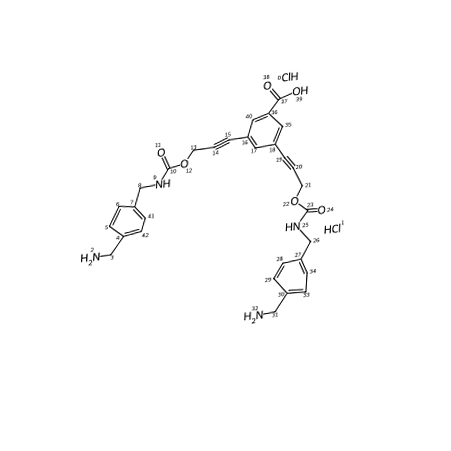 Cl.Cl.NCc1ccc(CNC(=O)OCC#Cc2cc(C#CCOC(=O)NCc3ccc(CN)cc3)cc(C(=O)O)c2)cc1